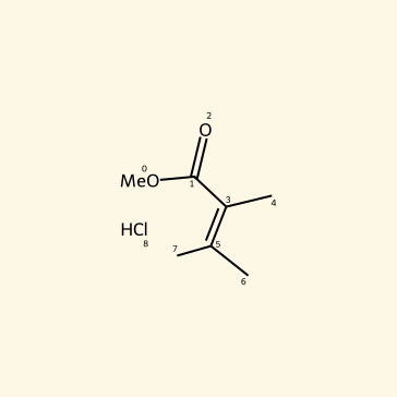 COC(=O)C(C)=C(C)C.Cl